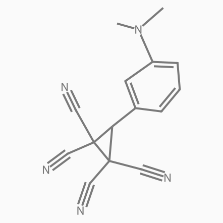 CN(C)c1cccc(C2C(C#N)(C#N)C2(C#N)C#N)c1